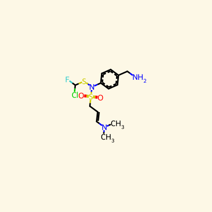 CN(C)C=CCS(=O)(=O)N(SC(F)Cl)c1ccc(CN)cc1